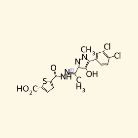 C/C(=N\NC(=O)c1ccc(C(=O)O)s1)c1nn(C)c(-c2ccc(Cl)c(Cl)c2)c1O